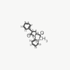 CC(=O)N1CC(c2ccccc2)C(=O)N1c1ccccn1